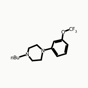 [CH2]CCCN1CCN(c2cccc(OC(F)(F)F)c2)CC1